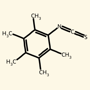 Cc1c(C)c(C)c(N=C=S)c(C)c1C